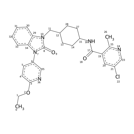 CCOc1ccc(-n2c(=O)n(CC3CCC(NC(=O)c4cc(Cl)cnc4C)CC3)c3ccccc32)cn1